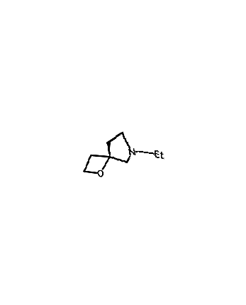 CCN1CC[C@@]2(CCO2)C1